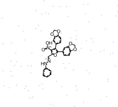 O=[N+](O)c1c(/C=N/Nc2ccccc2)oc(-c2ccc3c(c2)OCO3)c1-c1ccc2c(c1)OCO2